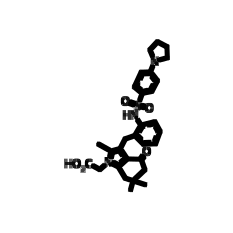 Cc1c(Cc2ccccc2NS(=O)(=O)c2ccc(N3CCCC3)cc2)c2c(n1CC(=O)O)CC(C)(C)CC2=O